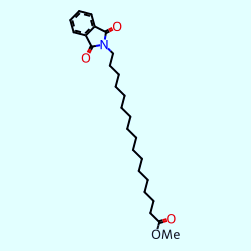 COC(=O)CCCCCCCCCCCCCCCCN1C(=O)c2ccccc2C1=O